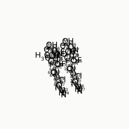 COC(C)(C)Cn1c(Cc2cc(F)c(-c3cccc(OCc4cnc(-n5ccnn5)cc4Cl)n3)cc2F)nc2ccc(C(=O)O)cc21.COC(C)(C)Cn1c(Cc2cc(F)c(-c3cccc(OCc4cnc(-n5ccnn5)cc4Cl)n3)cc2F)nc2ccc(C(=O)O)cc21